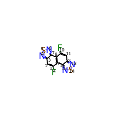 Fc1cc2nsnc2c2c(F)cc3nsnc3c12